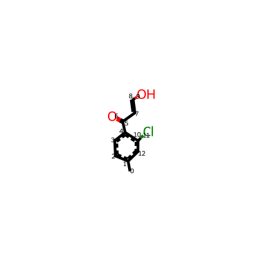 Cc1ccc(C(=O)C=CO)c(Cl)c1